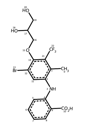 Cc1c(Nc2ccccc2C(=O)O)cc(Br)c(OCC(O)CO)c1C(F)(F)F